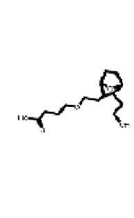 O=C(O)CCCOCCC1C2CCC(O2)C1CCO